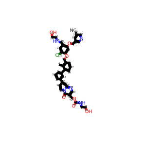 Cc1c(COc2cc(OCc3cncc(C#N)c3)c(CNCCO)cc2Cl)cccc1-c1cccc(-c2ccn3c(=O)c(COC(=O)NCCO)cnc3c2)c1